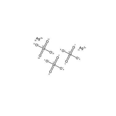 O=[Se](=O)([O-])[O-].O=[Se](=O)([O-])[O-].O=[Se](=O)([O-])[O-].[Ag+3].[Ag+3]